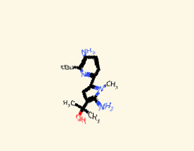 Cn1c(-c2ccc(N)c(C(C)(C)C)n2)cc(C(C)(C)O)c1N